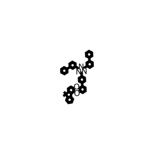 CC1(C)c2ccccc2-c2c1ccc1c2Oc2cccc(-c3ccc(-c4nc(-c5cccc(-c6ccccc6)c5)nc(-c5cccc(-c6ccccc6)c5)n4)cc3)c2O1